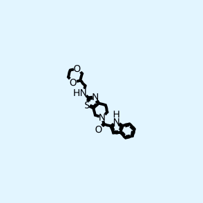 O=C(c1cc2ccccc2[nH]1)N1CCc2nc(NCC3COCCO3)sc2C1